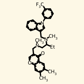 CCC(CN(C)Cc1coc2cc(C)c(C)cc2c1=O)N(C)Cc1cn(-c2cccc(C(F)(F)F)c2)c2ccccc12